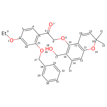 CCOc1ccc(C(=O)COc2c3c(cc(C)c2CO)OC(C)(C)C=C3)c(OCc2ccccc2)c1